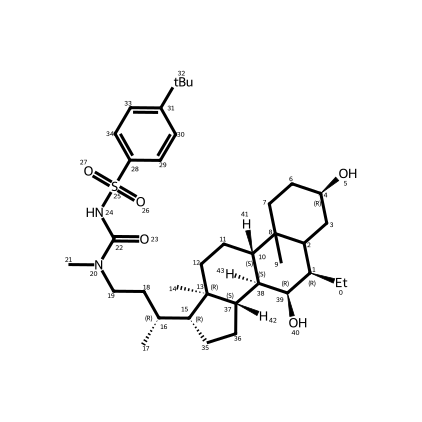 CC[C@@H]1C2C[C@H](O)CCC2(C)[C@H]2CC[C@]3(C)[C@@H]([C@H](C)CCN(C)C(=O)NS(=O)(=O)c4ccc(C(C)(C)C)cc4)CC[C@H]3[C@@H]2[C@@H]1O